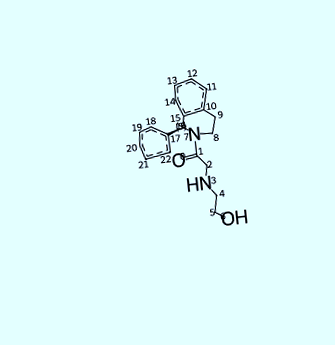 O=C(CNCCO)N1CCc2ccccc2[C@@H]1c1ccccc1